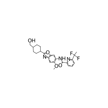 COc1cc2nc(C3CCC(CO)CC3)oc2cc1NC(=O)c1cccc(C(C)(F)F)n1